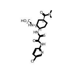 CN(C)C(=O)[C@H]1CC[C@H](NC(=S)C(=O)Nc2ccc(Cl)cn2)[C@H](NC(=O)O)C1